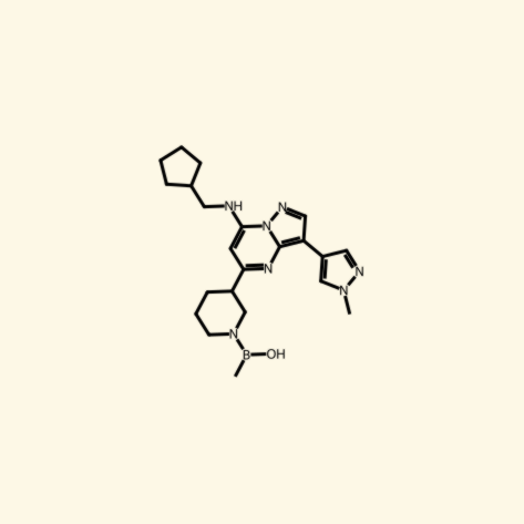 CB(O)N1CCCC(c2cc(NCC3CCCC3)n3ncc(-c4cnn(C)c4)c3n2)C1